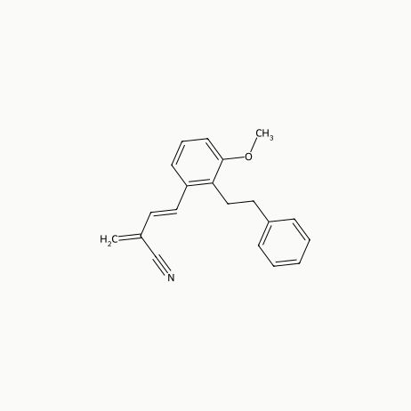 C=C(C#N)/C=C/c1cccc(OC)c1CCc1ccccc1